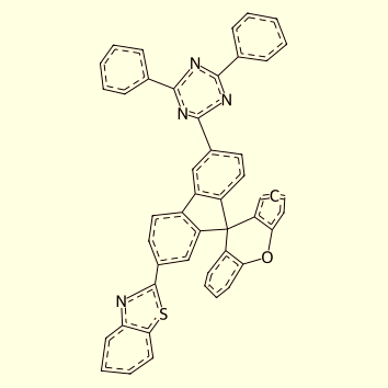 c1ccc(-c2nc(-c3ccccc3)nc(-c3ccc4c(c3)-c3ccc(-c5nc6ccccc6s5)cc3C43c4ccccc4Oc4ccccc43)n2)cc1